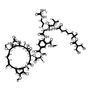 CNC(=O)c1cc(C(=O)N(C)[C@@H](C)C(=O)O[C@H]2CC(=O)N(C)c3cc(cc(OC)c3Cl)C/C(C)=C/C=C/[C@@H](OC)[C@@]3(O)C[C@H](OC(=O)N3)[C@@H](C)[C@@H]3O[C@@]23C)ccc1NC(=O)[C@H](CCCNC(N)=O)NC(=O)[C@@H](NC(=O)CCCCC(C)(C)OC(=O)C(CBr)CBr)C(C)C